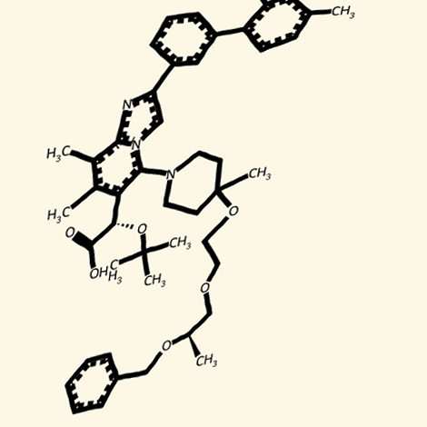 Cc1ccc(-c2cccc(-c3cn4c(N5CCC(C)(OCCOC[C@@H](C)OCc6ccccc6)CC5)c([C@H](OC(C)(C)C)C(=O)O)c(C)c(C)c4n3)c2)c(O)c1